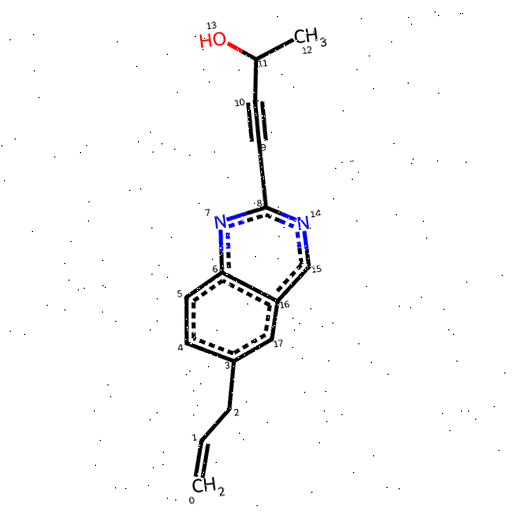 C=CCc1ccc2nc(C#CC(C)O)ncc2c1